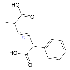 CC(/C=C/C(C(=O)O)c1ccccc1)C(=O)O